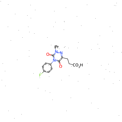 CC(C)n1nc(CCC(=O)O)c(=O)n(-c2ccc(F)cc2)c1=O